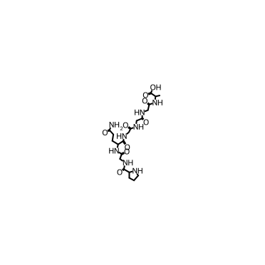 CC(NC(=O)CNC(=O)CNC(=O)CNC(=O)C(CCC(N)=O)NC(=O)CNC(=O)C1CCCN1)C(=O)O